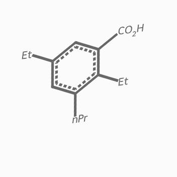 CCCc1cc(CC)cc(C(=O)O)c1CC